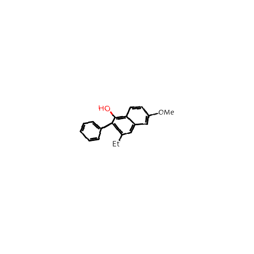 CCc1cc2cc(OC)ccc2c(O)c1-c1ccccc1